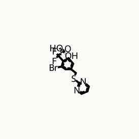 O=P(O)(O)C(F)(F)c1ccc(CSc2ncccn2)cc1Br